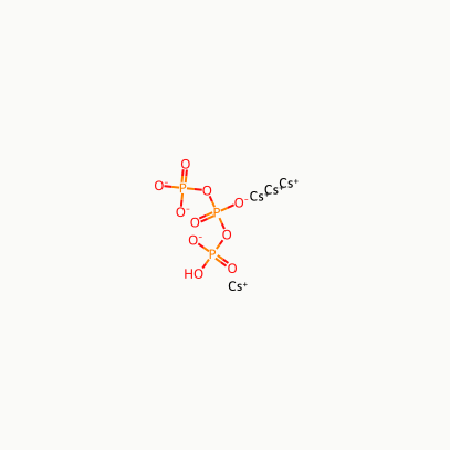 O=P([O-])([O-])OP(=O)([O-])OP(=O)([O-])O.[Cs+].[Cs+].[Cs+].[Cs+]